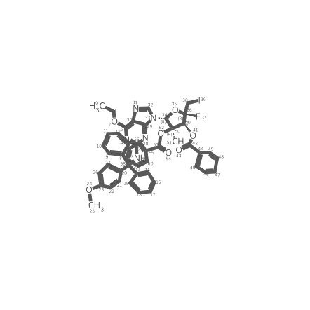 CCOc1nc(NC(c2ccccc2)(c2ccccc2)c2ccc(OC)cc2)nc2c1ncn2[C@@H]1O[C@](F)(CI)[C@@H](OC(=O)c2ccccc2)[C@@]1(C)OC(=O)c1ccccc1